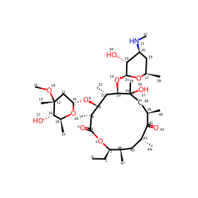 CC[C@H]1OC(=O)[C@H](C)[C@@H](O[C@H]2C[C@@](C)(OC)[C@@H](O)[C@H](C)O2)[C@H](C)[C@@H](O[C@@H]2O[C@H](C)C[C@H](NC)[C@H]2O)C(C)(O)C[C@@H](C)C(=O)[C@H](C)C[C@H]1C